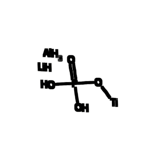 O=P(O)(O)[O][Ti].[AlH3].[LiH]